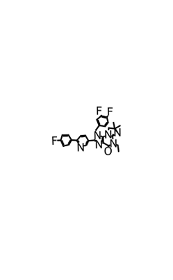 CCN1C(=O)c2nc(-c3ccc(-c4ccc(F)cc4)nc3)n(Cc3ccc(F)c(F)c3)c2N2CC(C)(C)N=C12